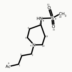 CC(=O)CCCN1CCC(NS(C)(=O)=O)CC1